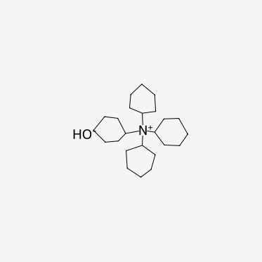 C1CCC([N+](C2CCCCC2)(C2CCCCC2)C2CCCCC2)CC1.[OH-]